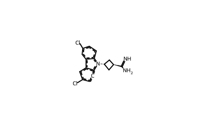 N=C(N)[C@H]1C[C@H](n2c3ccc(Cl)cc3c3cc(Cl)ccc32)C1